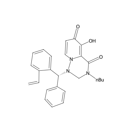 C=Cc1ccccc1[C@@H](c1ccccc1)N1CN(CCCC)C(=O)c2c(O)c(=O)ccn21